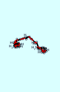 CCSSCO[C@@H]1C[C@H](n2cc(C#CCNC(=O)NCCCCCOCSSC(C)(C)CCOC(=O)NCCOCCOCCNC(=O)c3ccc(C(=O)O)c(-c4c5ccc(=N)c(S(=O)(=O)O)c-5oc5c(S(=O)(=O)O)c(N)ccc45)c3)c(N)nc2=O)OC1COP(=O)(O)OP(=O)(O)OP(=O)(O)O